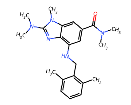 Cc1cccc(C)c1CNc1cc(C(=O)N(C)C)cc2c1nc(N(C)C)n2C